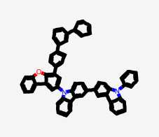 c1ccc(-c2cccc(-c3ccc(-c4cc(-n5c6ccccc6c6cc(-c7ccc8c(c7)c7ccccc7n8-c7ccccc7)ccc65)cc5c4oc4ccccc45)cc3)c2)cc1